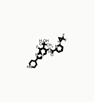 CC(C)(O)c1c(NC(=O)c2cccc([C@H]3CC3(F)F)n2)cn2cc(C3CCNCC3)nc2c1F